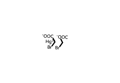 O=C([O-])CBr.O=C([O-])CBr.[Hg+2]